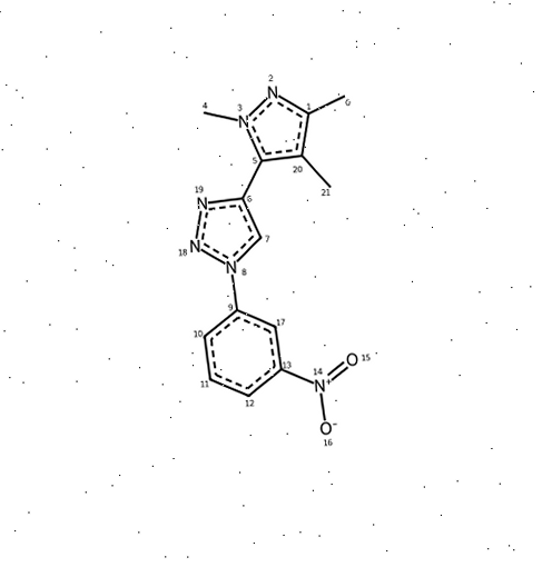 Cc1nn(C)c(-c2cn(-c3cccc([N+](=O)[O-])c3)nn2)c1C